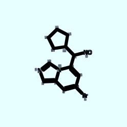 O=NC(c1cc(Br)cc2cncn12)C1CCCC1